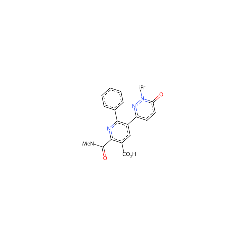 CNC(=O)c1nc(-c2ccccc2)c(-c2ccc(=O)n(C(C)C)n2)cc1C(=O)O